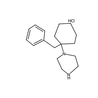 Cl.c1ccc(CC2(N3CCNCC3)CCCCC2)cc1